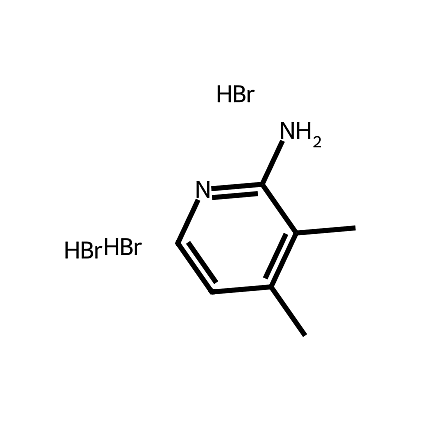 Br.Br.Br.Cc1ccnc(N)c1C